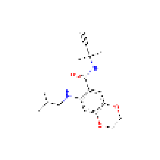 C#CC(C)(C)NC(=O)c1cc2c(cc1NCC(C)C)OCCO2